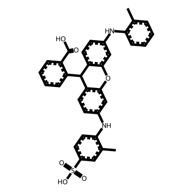 Cc1ccccc1Nc1ccc2c(c1)Oc1cc(Nc3ccc(S(=O)(=O)O)cc3C)ccc1C2c1ccccc1C(=O)O